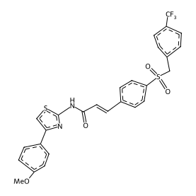 COc1ccc(-c2csc(NC(=O)/C=C/c3ccc(S(=O)(=O)Cc4ccc(C(F)(F)F)cc4)cc3)n2)cc1